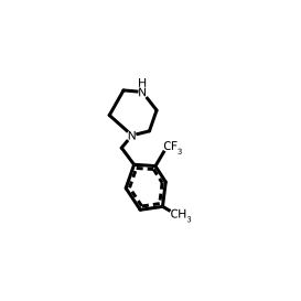 Cc1ccc(CN2CCNCC2)c(C(F)(F)F)c1